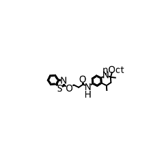 CCCCCCCCN1c2ccc(NC(=O)CCOc3nc4ccccc4s3)cc2C(C)CC1(C)C